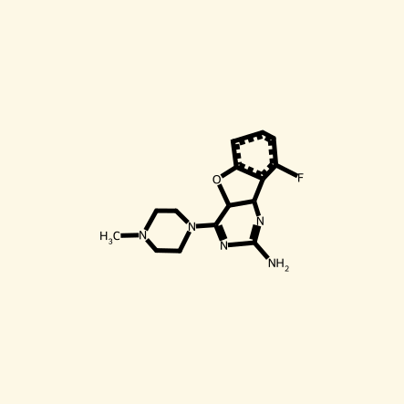 CN1CCN(C2=NC(N)=NC3c4c(F)cccc4OC23)CC1